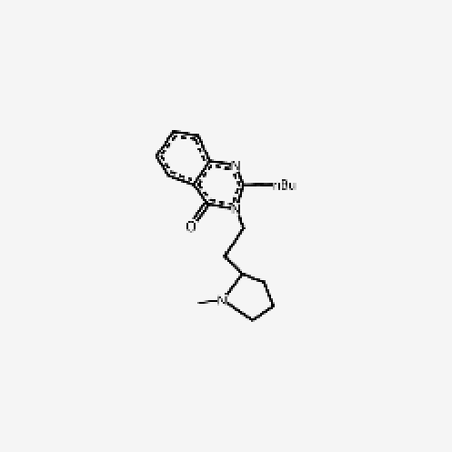 CCCCc1nc2ccccc2c(=O)n1CCC1CCCN1C